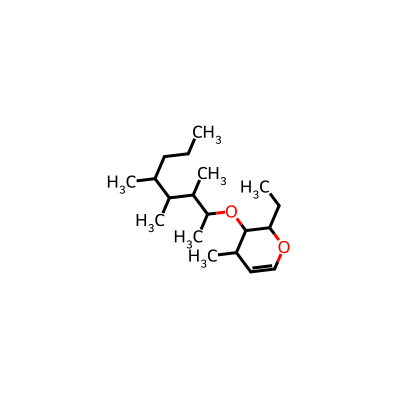 CCCC(C)C(C)C(C)C(C)OC1C(C)C=COC1CC